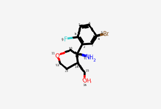 NC1(c2cc(Br)ccc2F)COCCC1CO